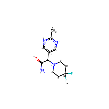 Cc1ncc([C@@H](C(N)=O)N2CCC(F)(F)CC2)cn1